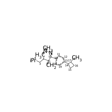 C=C(CCC(C)C)/C(=N\N(C)C)c1ccc(C2CCC2C)cc1